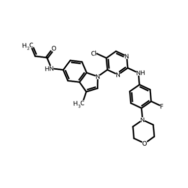 C=CC(=O)Nc1ccc2c(c1)c(C)cn2-c1nc(Nc2ccc(N3CCOCC3)c(F)c2)ncc1Cl